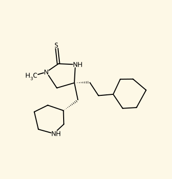 CN1C[C@](CCC2CCCCC2)(C[C@H]2CCCNC2)NC1=S